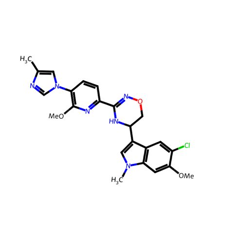 COc1cc2c(cc1Cl)c(C1CON=C(c3ccc(-n4cnc(C)c4)c(OC)n3)N1)cn2C